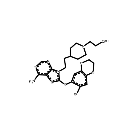 Nc1ncnc2c1nc(Sc1cc3c(cc1Br)OCCO3)n2CCC1CCN(C[CH]C=O)CC1